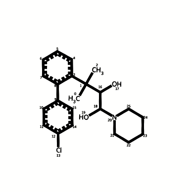 CC(C)(c1ccccc1-c1ccc(Cl)cc1)C(O)C(O)N1CCCCC1